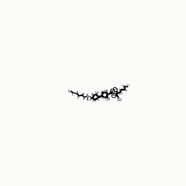 CCCCCCCOc1ccc(-c2ccc(C(=O)OC(C)C(=O)CCCCC)cc2)cc1